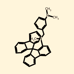 CN(C)c1cccc(CN(C)c2cccc3c2C2(c4ccccc4-c4ccccc42)c2ccccc2-3)c1